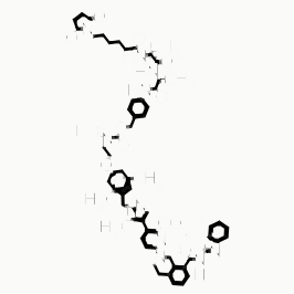 Cc1c(-c2ccc(N3CCc4cccc(C(=O)Nc5nc6ccccc6s5)c4C3)nc2C(=O)O)cnn1CC12CC3(C)CC(OCCN(C)C(=O)OCc4ccc(NC(=O)[C@H](C)NC(=O)[C@H](C)NC(=O)CCCCCN5C(=O)C=CC5=O)cc4)(CC1(C)C3)C2